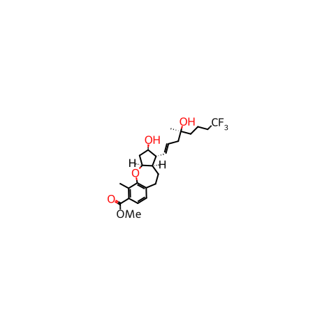 COC(=O)c1ccc2c(c1C)O[C@H]1C[C@@H](O)[C@H](/C=C/C[C@@](C)(O)CCCC(F)(F)F)[C@H]1CC2